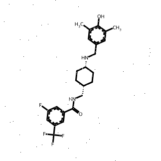 Cc1cc(CN[C@H]2CC[C@@H](CNC(=O)c3cc(F)cc(C(F)(F)F)c3)CC2)cc(C)c1O